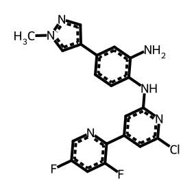 Cn1cc(-c2ccc(Nc3cc(-c4ncc(F)cc4F)cc(Cl)n3)c(N)c2)cn1